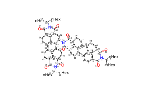 CCCCCCC(CCCCCC)N1C(=O)c2ccc3c4ccc5c6c(ccc(c7ccc(c2c37)C1=O)c64)C(=O)N(c1cc2c3c(ccc4c6ccc7c8c(ccc(c1c34)c86)C(=O)N(C(CCCCCC)CCCCCC)C7=O)C(=O)N(C(CCCCCC)CCCCCC)C2=O)C5=O